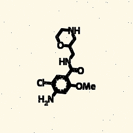 COc1cc(N)c(Cl)cc1C(=O)NCC1CNCCO1